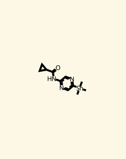 [CH3][Sn]([CH3])([CH3])[c]1cnc(NC(=O)C2CC2)cn1